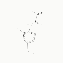 C=C(C)C(=O)Nc1ccc([N+](=O)[O-])cc1C